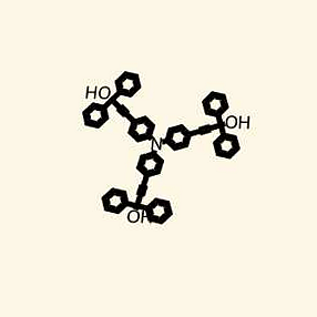 OC(C#Cc1ccc(N(c2ccc(C#CC(O)(c3ccccc3)c3ccccc3)cc2)c2ccc(C#CC(O)(c3ccccc3)c3ccccc3)cc2)cc1)(c1ccccc1)c1ccccc1